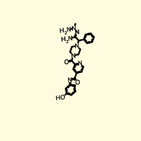 CN(N)/N=C(\N)C(c1ccccc1)N1CCN(C(=O)c2cc(-c3nc4cc(O)ccc4o3)ccn2)CC1